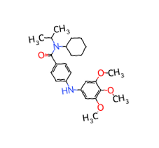 COc1cc(Nc2ccc(C(=O)N(C(C)C)C3CCCCC3)cc2)cc(OC)c1OC